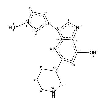 Cn1cc(-c2cnn3c(O)cc(C4CCCNC4)nc23)cn1